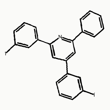 Ic1cccc(-c2cc(-c3ccccc3)nc(-c3cccc(I)c3)c2)c1